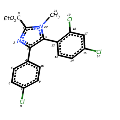 CCOC(=O)c1nc(-c2ccc(Cl)cc2)c(-c2ccc(Cl)cc2Cl)n1C